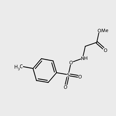 COC(=O)CNOS(=O)(=O)c1ccc(C)cc1